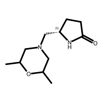 CC1CN(C[C@@H]2CCC(=O)N2)CC(C)O1